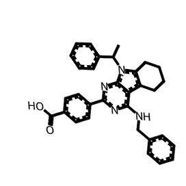 CC(c1ccccc1)n1c2c(c3c(NCc4ccccc4)nc(-c4ccc(C(=O)O)cc4)nc31)CCCC2